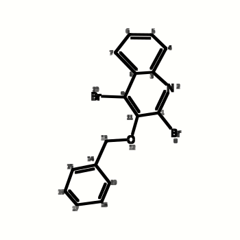 Brc1nc2ccccc2c(Br)c1OCc1ccccc1